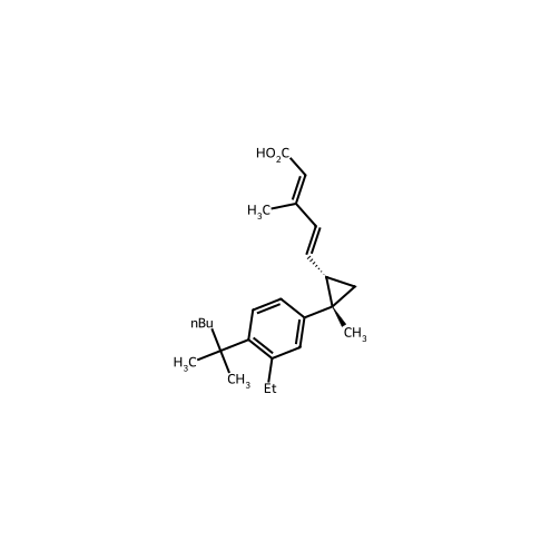 CCCCC(C)(C)c1ccc([C@@]2(C)C[C@H]2/C=C/C(C)=C/C(=O)O)cc1CC